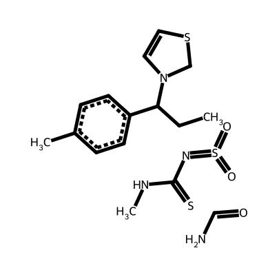 CCC(c1ccc(C)cc1)N1C=CSC1.CNC(=S)N=S(=O)=O.NC=O